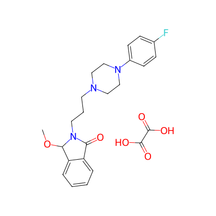 COC1c2ccccc2C(=O)N1CCCN1CCN(c2ccc(F)cc2)CC1.O=C(O)C(=O)O